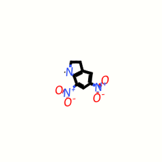 O=[N+]([O-])c1cc2c(c([N+](=O)[O-])c1)[N]CC2